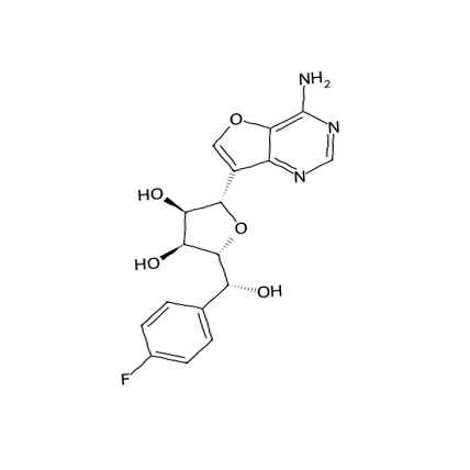 Nc1ncnc2c([C@@H]3O[C@H]([C@H](O)c4ccc(F)cc4)[C@@H](O)[C@H]3O)coc12